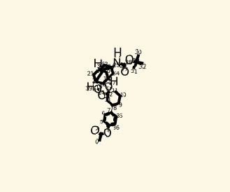 CC(=O)Oc1ccc([C@@H]2CCC[C@]3(C2)OO[C@@]2(O3)[C@@H]3C[C@@H]4C[C@H]2C[C@@](NC(=O)OC(C)(C)C)(C4)C3)cc1